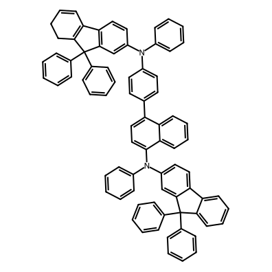 C1=CC2=C(CC1)C(c1ccccc1)(c1ccccc1)c1cc(N(c3ccccc3)c3ccc(-c4ccc(N(c5ccccc5)c5ccc6c(c5)C(c5ccccc5)(c5ccccc5)c5ccccc5-6)c5ccccc45)cc3)ccc12